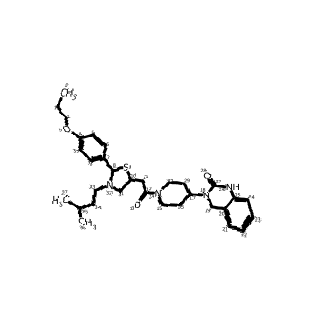 CCCOc1ccc(C2SC(CC(=O)N3CCC(N4Cc5ccccc5NC4=O)CC3)CN2CCC(C)C)cc1